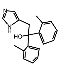 Cc1ccccc1C(O)(Cc1cnc[nH]1)c1ccccc1C